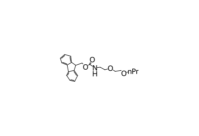 CCCOCCOCCNC(=O)OCC1c2ccccc2-c2ccccc21